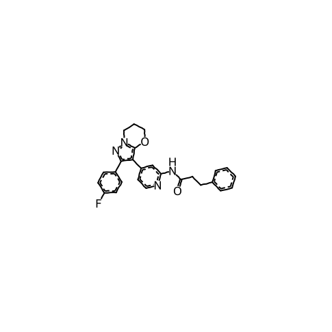 O=C(CCc1ccccc1)Nc1cc(-c2c(-c3ccc(F)cc3)nn3c2OCCC3)ccn1